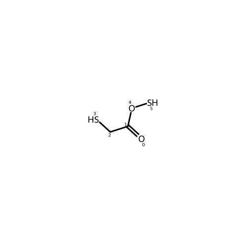 O=C(CS)OS